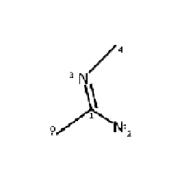 [CH2]C([N])=NC